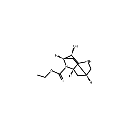 CCOC(=O)N1[C@H]2C[C@H]3CNC2[C@H](O)[C@@H]1C3